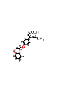 CC#CC(CC(=O)O)c1ccc(OCC2COc3ccc(Cl)cc3O2)cc1